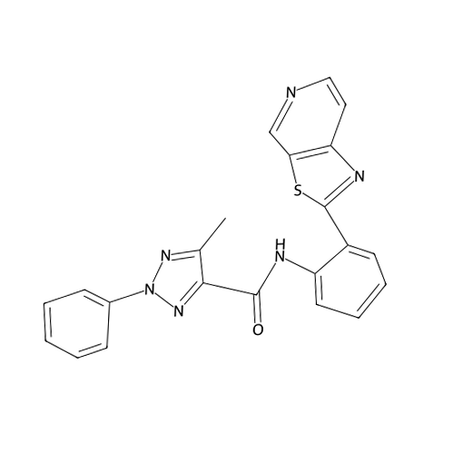 Cc1nn(-c2ccccc2)nc1C(=O)Nc1ccccc1-c1nc2ccncc2s1